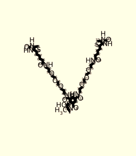 CC1(C(=O)O)CN1C(=O)c1cc(C(=O)NCCCOCCOCCOCCCNC(=O)CCCCC2SCC3NC(=O)NC32)cc(C(=O)NCCCOCCOCCOCCCNC(=O)CCCCC2SCC3NC(=O)NC32)c1